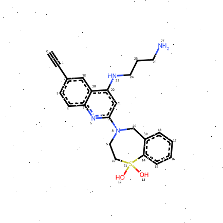 C#Cc1ccc2nc(N3CCS(O)(O)c4ccccc4C3)cc(NCCCN)c2c1